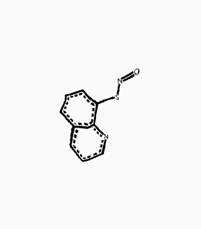 O=NSc1cccc2cccnc12